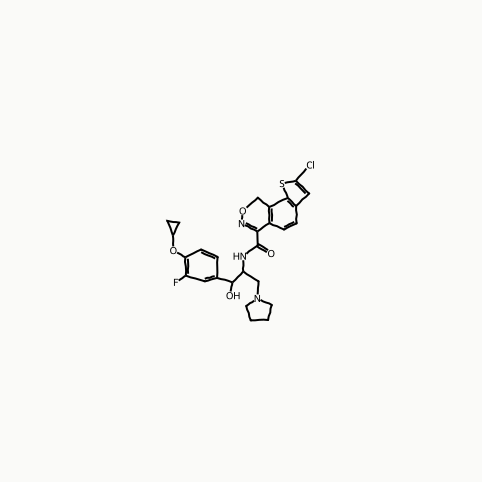 O=C(NC(CN1CCCC1)C(O)c1ccc(OC2CC2)c(F)c1)C1=NOCc2c1ccc1cc(Cl)sc21